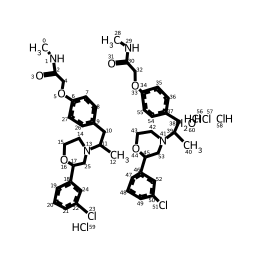 CNC(=O)COc1ccc(CC(C)N2CCOC(c3cccc(Cl)c3)C2)cc1.CNC(=O)COc1ccc(CC(C)N2CCOC(c3cccc(Cl)c3)C2)cc1.Cl.Cl.Cl.Cl.O